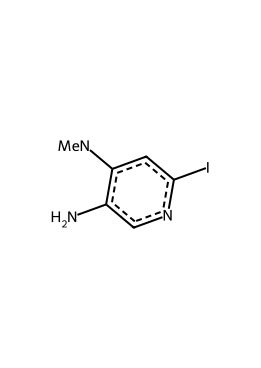 CNc1cc(I)ncc1N